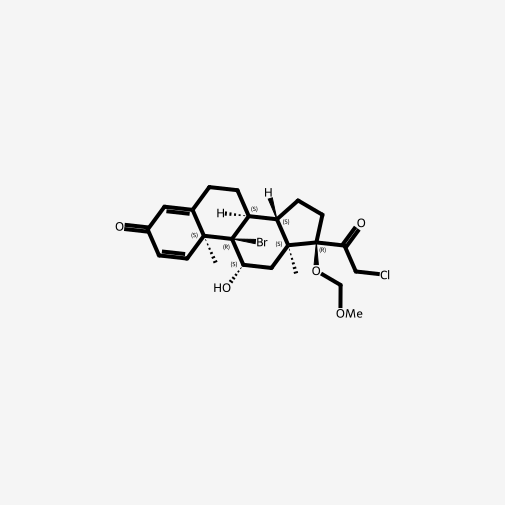 COCO[C@]1(C(=O)CCl)CC[C@H]2[C@@H]3CCC4=CC(=O)C=C[C@]4(C)[C@@]3(Br)[C@@H](O)C[C@@]21C